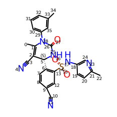 CC1=C(C#N)[C@@H](c2ccc(C#N)cc2S(=O)(=O)Nc2ccc(C)nc2)NC(=O)N1c1cccc(C)c1